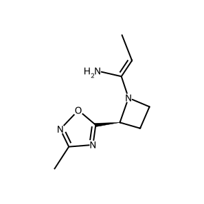 C/C=C(\N)N1CC[C@H]1c1nc(C)no1